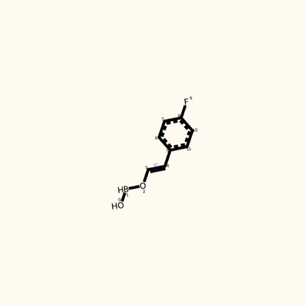 OBO/C=C/c1ccc(F)cc1